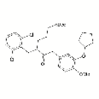 CCCCCCCCCCCCCC(Cc1c(Cl)cccc1Cl)C(=O)Cc1ccc(OC)c(OC2CCCC2)c1